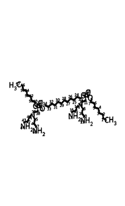 CCCCCCCCOP(=O)(CCN(CCCN)CCCN)OCCCCCCCCCCCCOP(=O)(CCN(CCCN)CCCN)OCCCCCCCC